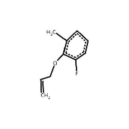 C=CCOc1c(C)cccc1F